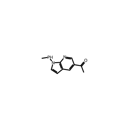 CPn1ccc2cc(C(C)=O)cnc21